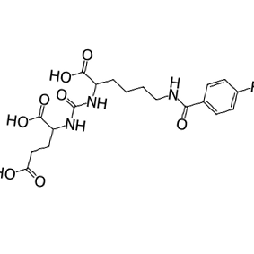 O=C(O)CCC(NC(=O)NC(CCCCNC(=O)c1ccc(F)cc1)C(=O)O)C(=O)O